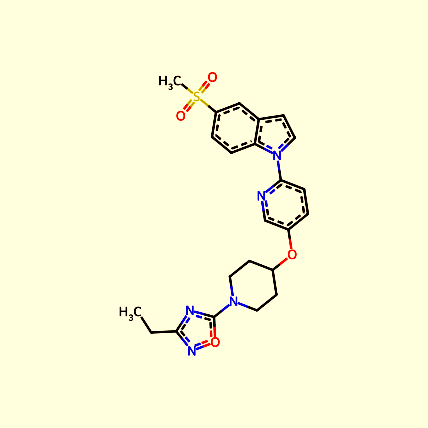 CCc1noc(N2CCC(Oc3ccc(-n4ccc5cc(S(C)(=O)=O)ccc54)nc3)CC2)n1